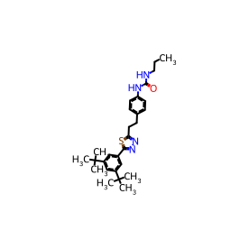 CCCNC(=O)Nc1ccc(CCc2nnc(-c3cc(C(C)(C)C)cc(C(C)(C)C)c3)s2)cc1